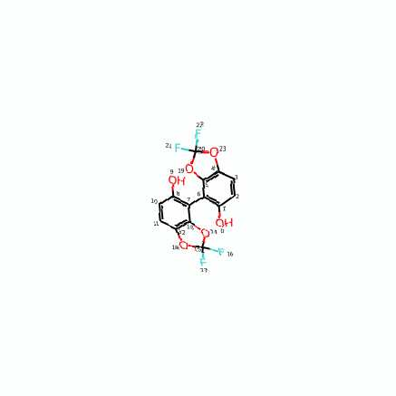 Oc1ccc2c(c1-c1c(O)ccc3c1OC(F)(F)O3)OC(F)(F)O2